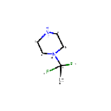 CCC(F)(F)N1CCNCC1